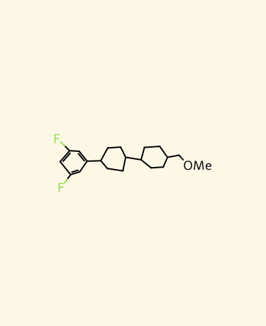 COCC1CCC(C2CCC(c3cc(F)cc(F)c3)CC2)CC1